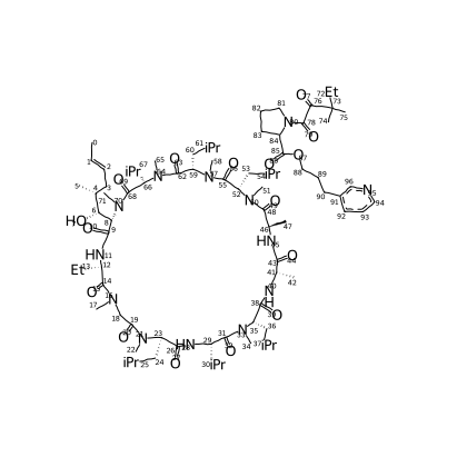 C/C=C/C[C@@H](C)[C@@H](O)[C@H]1C(=O)N[C@@H](CC)C(=O)N(C)CC(=O)N(C)[C@@H](CC(C)C)C(=O)N[C@@H](C(C)C)C(=O)N(C)[C@@H](CC(C)C)C(=O)N[C@@H](C)C(=O)N[C@H](C)C(=O)N(C)[C@@H](CC(C)C)C(=O)N(C)[C@@H](CC(C)C)C(=O)N(C)[C@@H](C(C)C)C(=O)N1C.CCC(C)(C)C(=O)C(=O)N1CCCC1C(=O)OCCCc1cccnc1